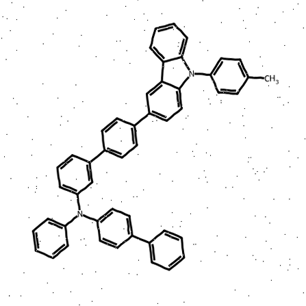 Cc1ccc(-n2c3ccccc3c3cc(-c4ccc(-c5cccc(N(c6ccccc6)c6ccc(-c7ccccc7)cc6)c5)cc4)ccc32)cc1